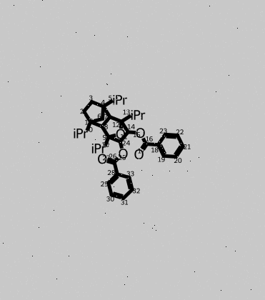 CC(C)C12CCC(C(C)C)(C1)C1C2C2(C(C)C)OC1(C(C)C)C(OC(=O)c1ccccc1)C2OC(=O)c1ccccc1